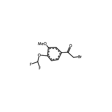 COc1cc(C(=O)CBr)ccc1OC(F)F